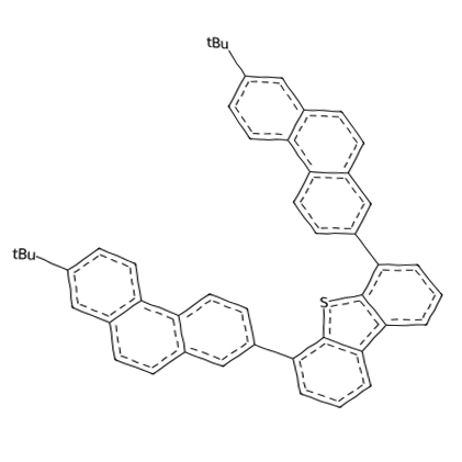 CC(C)(C)c1ccc2c(ccc3cc(-c4cccc5c4sc4c(-c6ccc7c(ccc8cc(C(C)(C)C)ccc87)c6)cccc45)ccc32)c1